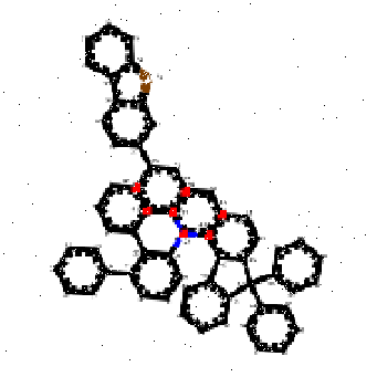 c1ccc(-c2ccccc2-c2c(-c3ccccc3)cccc2N(c2ccc(-c3ccc4c(c3)sc3ccccc34)cc2)c2cccc3c2-c2ccccc2C3(c2ccccc2)c2ccccc2)cc1